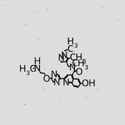 CCn1ncc(CN(C)C(=O)c2cc(-c3cnc(OCCNC)cn3)nc3ccc(O)cc23)c1C